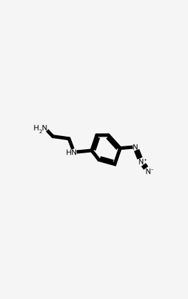 [N-]=[N+]=Nc1ccc(NCCN)cc1